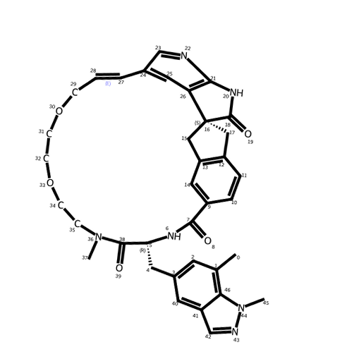 Cc1cc(C[C@H]2NC(=O)c3ccc4c(c3)C[C@]3(C4)C(=O)Nc4ncc(cc43)/C=C/COCCOCCN(C)C2=O)cc2cnn(C)c12